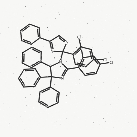 Clc1ccc(C2=NC(c3ccccc3)(c3ccccc3)C(c3ccccc3)N2C2(c3ccc(Cl)cc3Cl)N=CC(c3ccccc3)=N2)c(Cl)c1